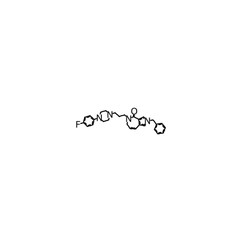 O=C1c2cn(Cc3ccccc3)cc2C=CCN1CCCN1CCN(c2ccc(F)cc2)CC1